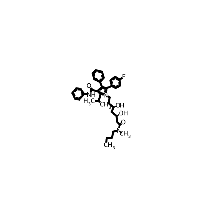 CCCCN(C)C(=O)C[C@H](O)C[C@H](O)CCn1c(-c2ccc(F)cc2)c(-c2ccccc2)c(C(=O)Nc2ccccc2)c1C(C)C